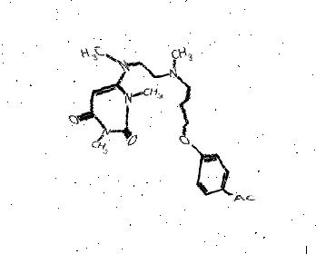 CC(=O)c1ccc(OCCCN(C)CCN(C)c2cc(=O)n(C)c(=O)n2C)cc1